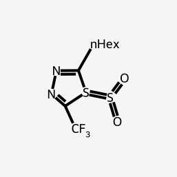 CCCCCCC1=NN=C(C(F)(F)F)S1=S(=O)=O